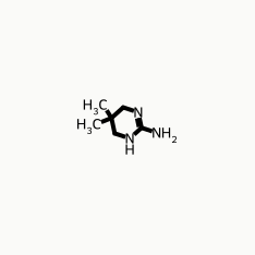 CC1(C)CN=C(N)NC1